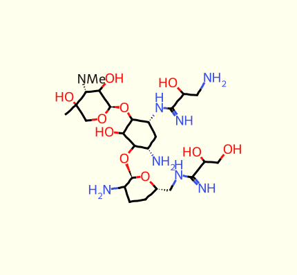 CN[C@@H]1C(O)[C@@H](OC2C(O)C(O[C@H]3O[C@H](CNC(=N)C(O)CO)CCC3N)[C@@H](N)C[C@H]2NC(=N)C(O)CN)OCC1(C)O